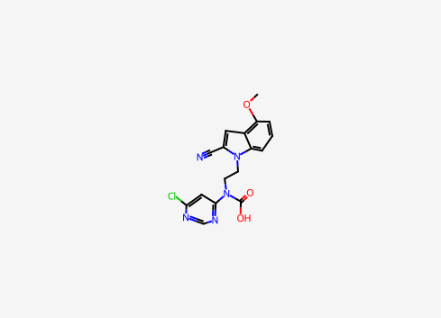 COc1cccc2c1cc(C#N)n2CCN(C(=O)O)c1cc(Cl)ncn1